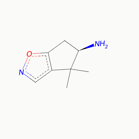 CC1(C)c2cnoc2C[C@H]1N